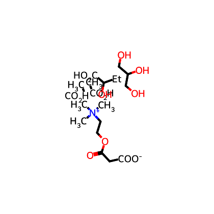 CC(=O)O.CC(=O)O.CCC(O)C(=O)O.C[N+](C)(C)CCOC(=O)CC(=O)[O-].OCC(O)CO